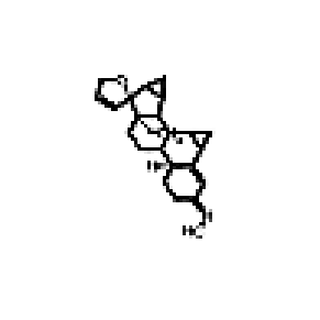 CC[C@]12CCC3C(C4CC4C4=CC(=NO)CC[C@@H]43)C1C1CC1[C@@]21C=CCO1